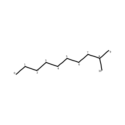 CC[CH]CCCCCC(C)C